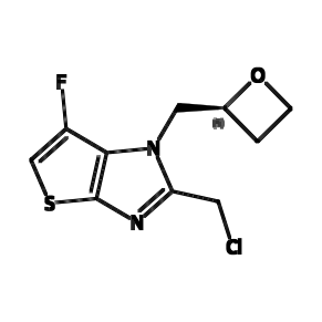 Fc1csc2nc(CCl)n(C[C@@H]3CCO3)c12